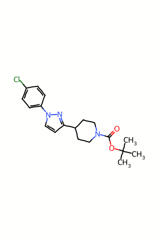 CC(C)(C)OC(=O)N1CCC(c2ccn(-c3ccc(Cl)cc3)n2)CC1